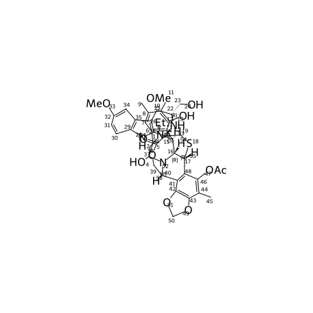 CCN1CC2(O)Cc3cc(C)c(OC)c(O)c3[C@H]1[C@@H]1[C@@H]3SC[C@]4(N[C@@H](CO)Cc5c4[nH]c4ccc(OC)cc54)C(=O)OC[C@@H](c4c5c(c(C)c(OC(C)=O)c43)OCO5)N12